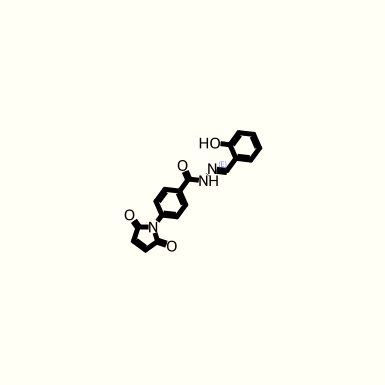 O=C(N/N=C/c1ccccc1O)c1ccc(N2C(=O)C=CC2=O)cc1